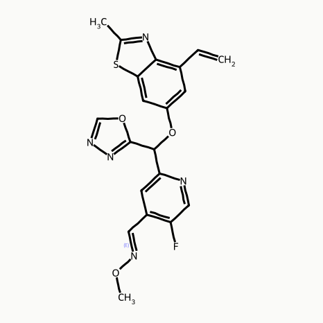 C=Cc1cc(OC(c2cc(/C=N/OC)c(F)cn2)c2nnco2)cc2sc(C)nc12